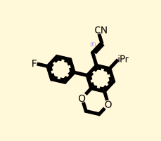 CC(C)c1cc2c(c(-c3ccc(F)cc3)c1/C=C/C#N)OCCO2